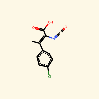 C/C(=C(/N=C=O)C(=O)O)c1ccc(Cl)cc1